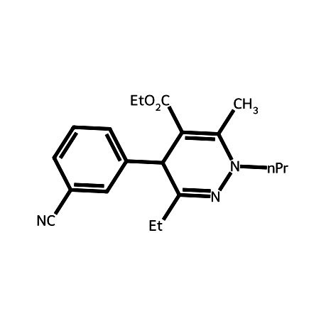 CCCN1N=C(CC)C(c2cccc(C#N)c2)C(C(=O)OCC)=C1C